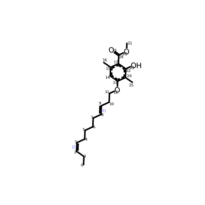 CC/C=C\CCCC/C=C/CCOc1cc(C)c(C(=O)OC)c(O)c1C